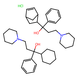 Cl.OC(CCN1CCCCC1)(c1ccccc1)C1CC2C=CC1C2.OC(CCN1CCCCC1)(c1ccccc1)C1CCCCC1